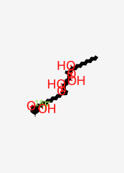 CCCCCCCCCC[C@H](O)[C@H]1CC[C@@H]([C@@H](O)CC[C@H](O)[C@@H]2CC[C@@H](CCCCCCC([18F])C[C@@H](O)CC3=C[C@H](C)CC3=O)O2)O1